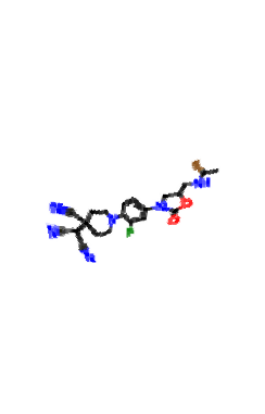 CC(=S)NCC1CN(c2ccc(N3CCC(C#N)(C(C#N)C#N)CC3)c(F)c2)C(=O)O1